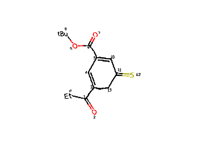 CCC(=O)C1=CC(C(=O)OC(C)(C)C)=CC(=S)C1